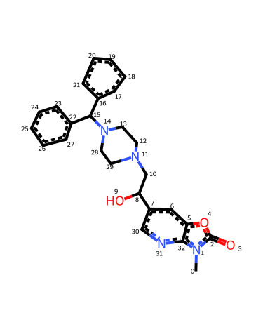 Cn1c(=O)oc2cc(C(O)CN3CCN(C(c4ccccc4)c4ccccc4)CC3)cnc21